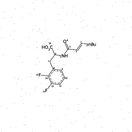 CCCCC=CC(=O)NC(Cc1cccc(F)c1F)C(=O)O